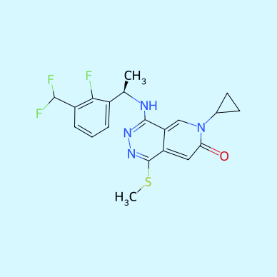 CSc1nnc(N[C@H](C)c2cccc(C(F)F)c2F)c2cn(C3CC3)c(=O)cc12